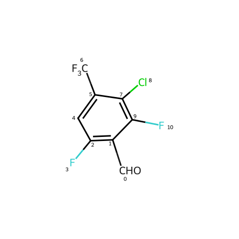 O=Cc1c(F)cc(C(F)(F)F)c(Cl)c1F